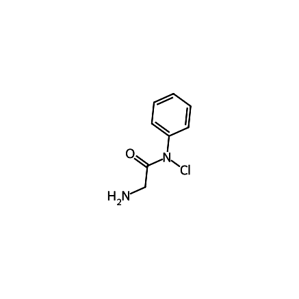 NCC(=O)N(Cl)c1ccccc1